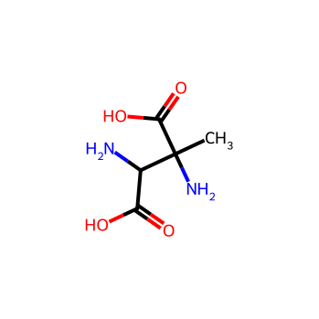 CC(N)(C(=O)O)C(N)C(=O)O